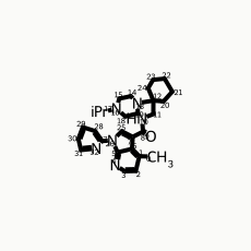 Cc1ccnc2c1c(C(=O)NCC1(N3CCN(C(C)C)CC3)CCCCC1)cn2-c1ccccn1